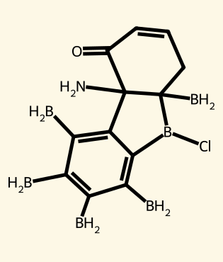 Bc1c(B)c(B)c2c(c1B)B(Cl)C1(B)CC=CC(=O)C21N